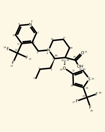 CCC[C@H]1N(Cc2cnccc2C(F)(F)F)CCC[C@@]1(Oc1csc(C(F)(F)F)c1)C(=O)O